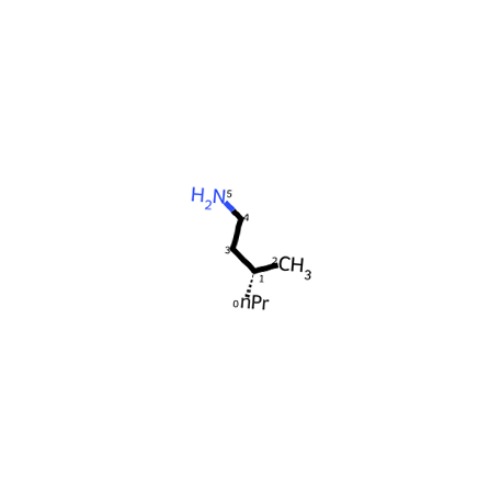 CCC[C@@H](C)CCN